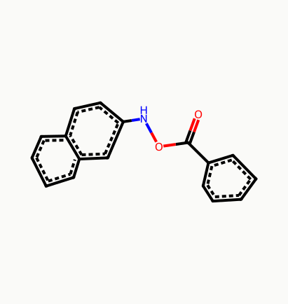 O=C(ONc1ccc2ccccc2c1)c1ccccc1